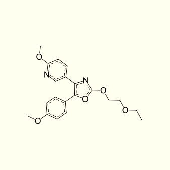 CCOCCOc1nc(-c2ccc(OC)nc2)c(-c2ccc(OC)cc2)o1